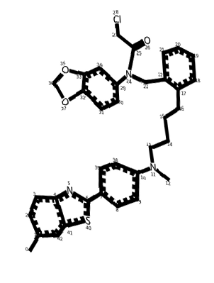 Cc1ccc2nc(-c3ccc(N(C)CCCCc4ccccc4CN(C(=O)CCl)c4ccc5c(c4)OCO5)cc3)sc2c1